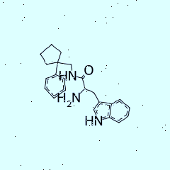 NC(Cc1c[nH]c2ccccc12)C(=O)NCC1(c2ccccc2)CCCC1